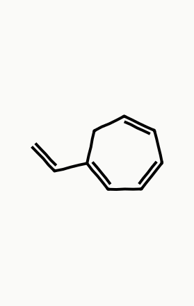 C=CC1=CC=CC=CC1